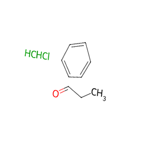 CCC=O.Cl.Cl.c1ccccc1